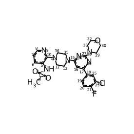 CS(=O)(=O)Nc1cccnc1N1CCN(c2cc(-c3ccc(F)c(Cl)c3)nc(N3CCOCC3)n2)CC1